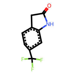 O=C1Cc2ccc(C(F)(F)F)cc2N1